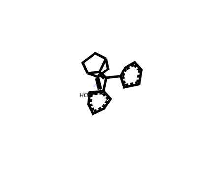 O/N=C1/CC2CCC1C2=C(c1ccccc1)c1ccccc1